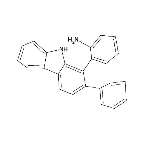 Nc1ccccc1-c1c(-c2ccccc2)ccc2c1[nH]c1ccccc12